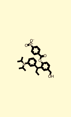 CCC(c1cccc(N(C(C)C)C(C)C)c1)c1cc(CO)ccc1OC(=O)c1ccc([N+](=O)[O-])cc1